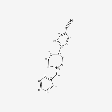 N#Cc1ccc(C2CCN(Cc3ccccc3)CCO2)cc1